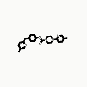 Cc1ccc(Cc2ccc(OC(=O)N3CCN(c4ccc(F)cn4)CC3)cc2)nc1